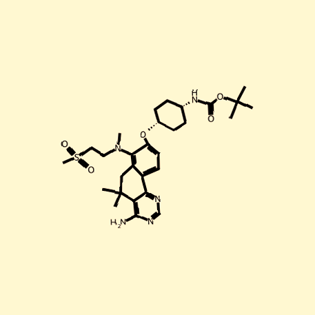 CN(CCS(C)(=O)=O)c1c(O[C@H]2CC[C@@H](NC(=O)OC(C)(C)C)CC2)ccc2c1CC(C)(C)c1c(N)ncnc1-2